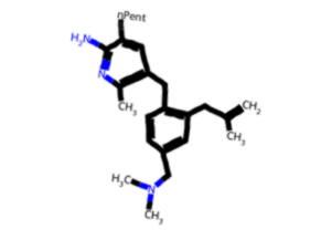 C=C(C)Cc1cc(CN(C)C)ccc1Cc1cc(CCCCC)c(N)nc1C